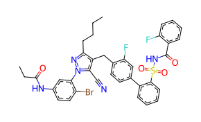 CCCCc1nn(-c2cc(NC(=O)CC)ccc2Br)c(C#N)c1Cc1ccc(-c2ccccc2S(=O)(=O)NC(=O)c2ccccc2F)cc1F